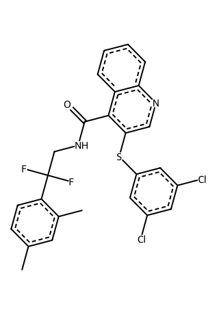 Cc1ccc(C(F)(F)CNC(=O)c2c(Sc3cc(Cl)cc(Cl)c3)cnc3ccccc23)c(C)c1